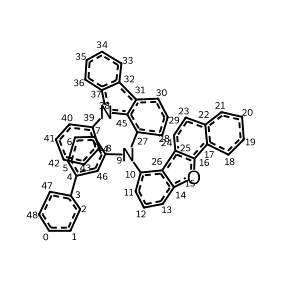 c1ccc(-c2cccc(N(c3cccc4oc5c6ccccc6ccc5c34)c3cccc4c5ccccc5n(-c5ccccc5)c34)c2)cc1